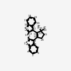 Cc1sc2ccccc2c1C1=C(c2c(C)sc3ccccc23)C(F)(F)CC1